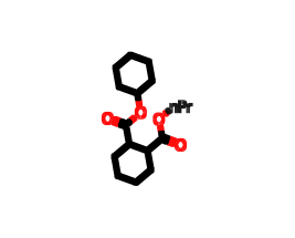 CCCOC(=O)C1CCCCC1C(=O)OC1CCCCC1